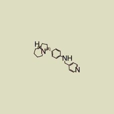 c1cc(CNc2ccc([C@H]3CC[C@H]4CCCCN43)cc2)ccn1